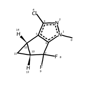 Cn1nc(Cl)c2c1C(F)(F)[C@@H]1C[C@H]21